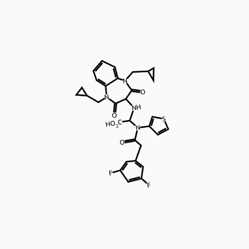 O=C(O)C(NC1C(=O)N(CC2CC2)c2ccccc2N(CC2CC2)C1=O)N(C(=O)Cc1cc(F)cc(F)c1)c1ccsc1